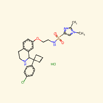 Cc1nc(S(=O)(=O)NCCOc2ccc3c(c2)C(C2(c4ccc(Cl)cc4)CCC2)NCC3)cn1C.Cl